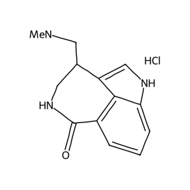 CNCC1CNC(=O)c2cccc3[nH]cc1c23.Cl